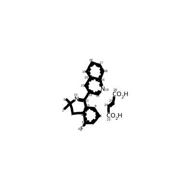 CC1(C)Cc2c(F)cccc2C(c2cnc3ccccc3c2)=N1.O=C(O)C=CC(=O)O